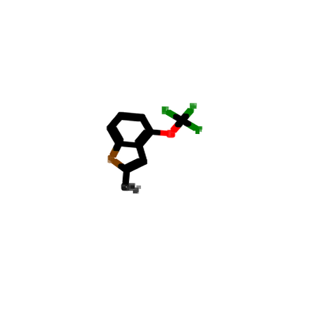 [CH2]c1cc2c(OC(F)(F)F)cccc2s1